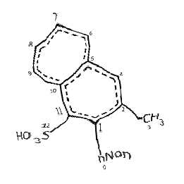 CCCCCCCCCc1c(C)cc2ccccc2c1S(=O)(=O)O